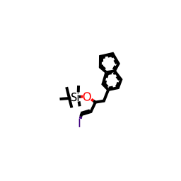 CC(C)(C)[Si](C)(C)OC(/C=C/I)Cc1ccc2ccccc2c1